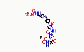 CC(C)(C)OC(=O)NCC1C2CN(Cc3ccc(-n4ccc(NC(=O)N5CCN(C(=O)C6(CNC(=O)OC(C)(C)C)CC6)CC5)nc4=O)cc3)CC12